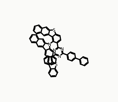 c1ccc(-c2ccc(-c3nc(-c4ccc5sc6cc7ccccc7cc6c5c4-n4c5cc6ccccc6cc5c5cc6ccccc6cc54)nc(-c4cccc5c4sc4ccccc45)n3)cc2)cc1